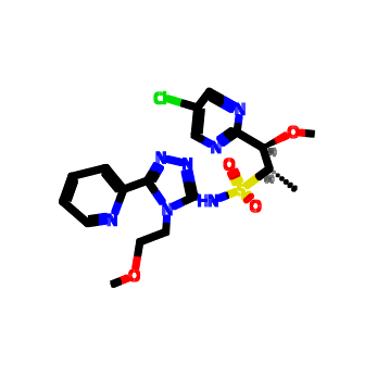 COCCn1c(NS(=O)(=O)[C@@H](C)[C@H](OC)c2ncc(Cl)cn2)nnc1-c1ccccn1